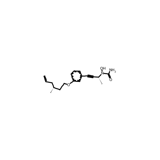 C=CC[C@@H](C)CCOc1cccc(C#C[C@@H](C)N(O)C(N)=O)c1